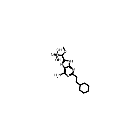 COC(c1nc2c(N)nc(CCC3CCCCC3)nc2[nH]1)P(=O)(O)O